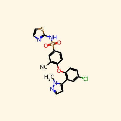 Cn1nccc1-c1cc(Cl)ccc1Oc1ccc(S(=O)(=O)Nc2nccs2)cc1C#N